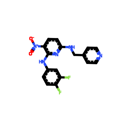 O=[N+]([O-])c1ccc(NCc2ccncc2)nc1Nc1ccc(F)c(F)c1